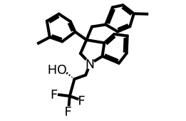 Cc1ccc(CC2(c3cccc(C)c3)CN(C[C@@H](O)C(F)(F)F)c3ccccc32)cc1